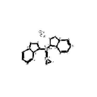 C1=CC2CC[CH]([Zr+2]([CH]3CCC4C=CC=CC43)=[Si]3CC3)C2C=C1.[Cl-].[Cl-]